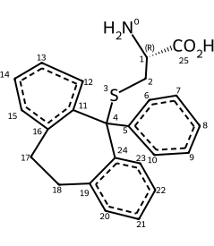 N[C@@H](CSC1(c2ccccc2)c2ccccc2CCc2ccccc21)C(=O)O